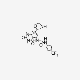 Cn1c(=O)c2c(NCC(=O)Nc3ccc(C(F)(F)F)cc3)cc(C3CNCCO3)nc2n(C)c1=O